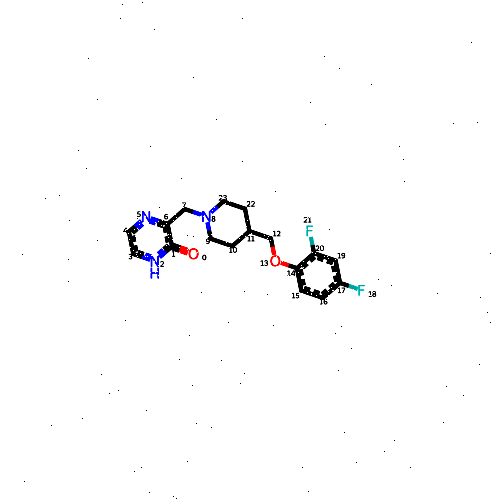 O=c1[nH]ccnc1CN1CCC(COc2ccc(F)cc2F)CC1